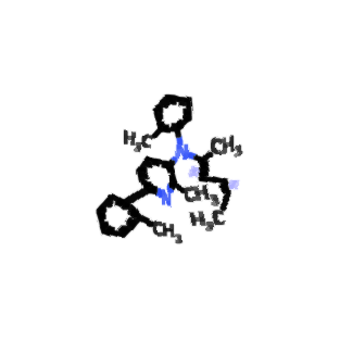 C/C=C\C=C(/C)N(c1ccccc1C)c1ccc(-c2ccccc2C)nc1C